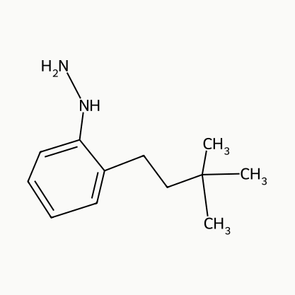 CC(C)(C)CCc1ccccc1NN